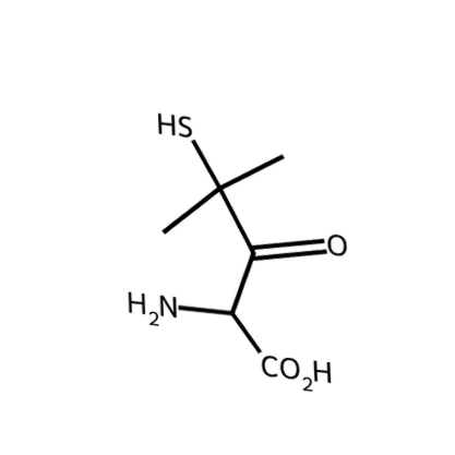 CC(C)(S)C(=O)C(N)C(=O)O